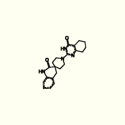 O=C1Nc2ccccc2CC12CCN(c1nc3c(c(=O)[nH]1)CCCC3)CC2